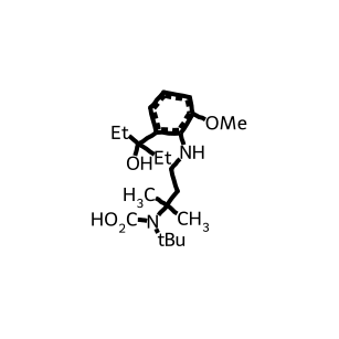 CCC(O)(CC)c1cccc(OC)c1NCCC(C)(C)N(C(=O)O)C(C)(C)C